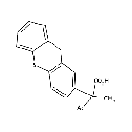 CC(=O)C(C)(C(=O)O)c1ccc2c(c1)Cc1ccccc1S2